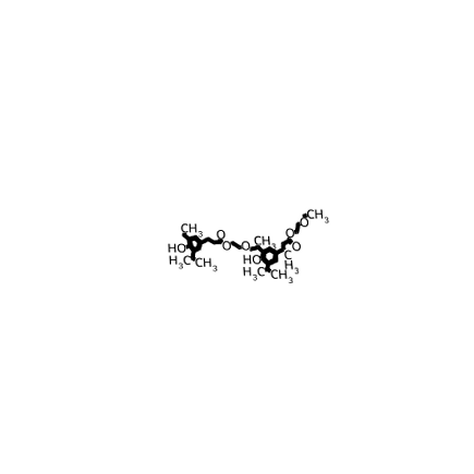 CCOCCOC(=O)CC(C)c1cc(C(C)C)c(O)c(C(C)COCCOC(=O)CCc2cc(CC)c(O)c(C(C)C)c2)c1